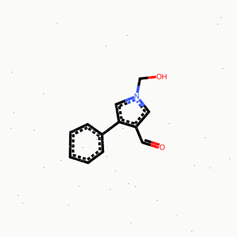 O=Cc1cn(CO)cc1-c1ccccc1